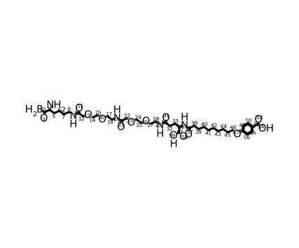 BC(=O)C(N)CCCCNC(=O)COCCOCCNC(=O)COCCOCCNC(=O)CCC(NC(=O)CCCCCCCCCOc1ccc(C(=O)O)cc1)C(=O)O